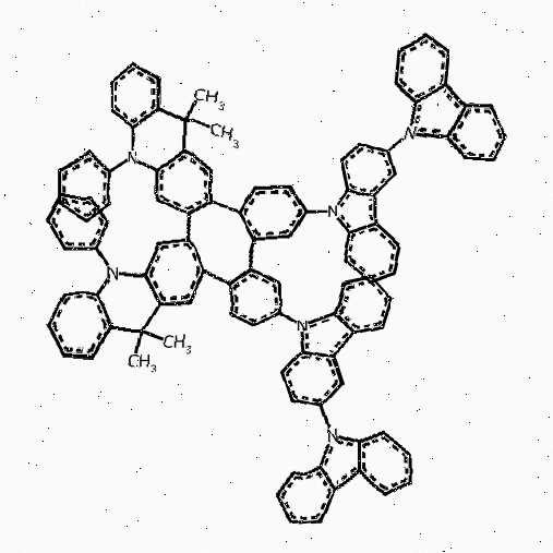 CC1(C)c2ccccc2N(c2ccccc2)c2cc3c(cc21)-c1ccc(-n2c4ccccc4c4cc(-n5c6ccccc6c6ccccc65)ccc42)cc1-c1cc(-n2c4ccccc4c4cc(-n5c6ccccc6c6ccccc65)ccc42)ccc1-c1cc2c(cc1-3)N(c1ccccc1)c1ccccc1C2(C)C